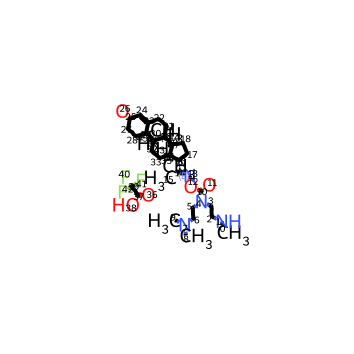 CNCCN(CCN(C)C)C(=O)O/N=C(\C)[C@H]1CC[C@H]2[C@@H]3CCC4=CC(=O)CC[C@]4(C)[C@H]3CC[C@]12C.O=C(O)C(F)(F)F